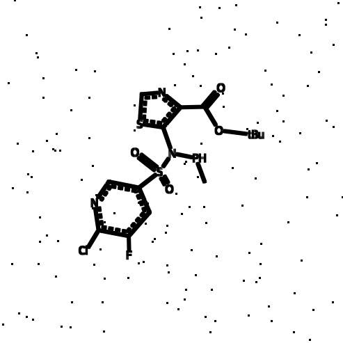 CPN(c1scnc1C(=O)OC(C)(C)C)S(=O)(=O)c1cnc(Cl)c(F)c1